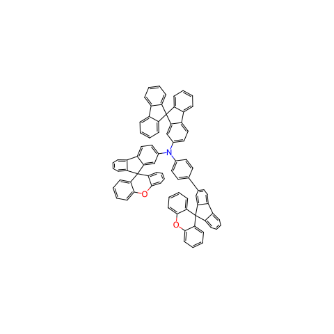 c1ccc2c(c1)Oc1ccccc1C21c2ccccc2-c2ccc(-c3ccc(N(c4ccc5c(c4)C4(c6ccccc6Oc6ccccc64)c4ccccc4-5)c4ccc5c(c4)C4(c6ccccc6-c6ccccc64)c4ccccc4-5)cc3)cc21